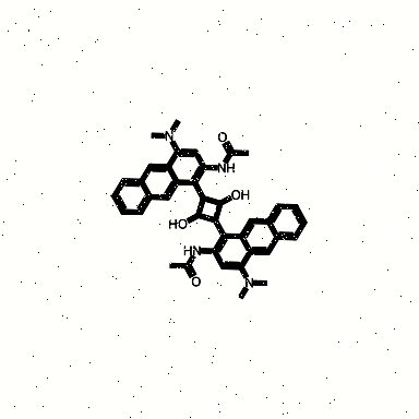 CC(=O)Nc1cc(N(C)C)c2cc3ccccc3cc2c1C1C(O)C(c2c(NC(C)=O)cc(N(C)C)c3cc4ccccc4cc23)C1O